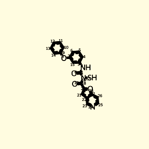 O=C(Nc1cccc(Oc2ccccc2)c1)N(S)C(=O)c1cc2cnccc2o1